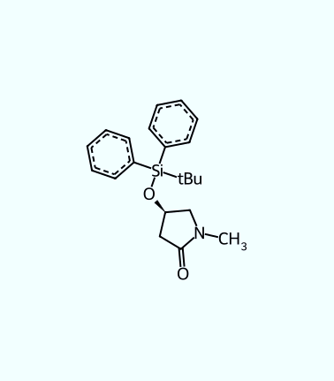 CN1C[C@H](O[Si](c2ccccc2)(c2ccccc2)C(C)(C)C)CC1=O